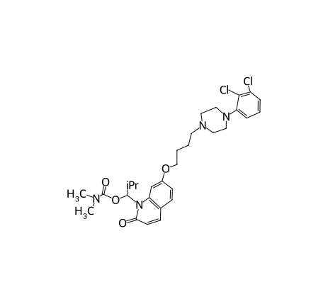 CC(C)C(OC(=O)N(C)C)n1c(=O)ccc2ccc(OCCCCN3CCN(c4cccc(Cl)c4Cl)CC3)cc21